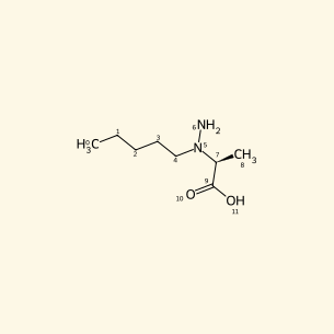 CCCCCN(N)[C@@H](C)C(=O)O